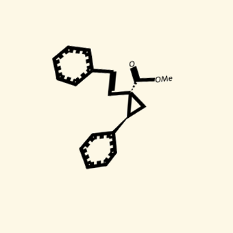 COC(=O)[C@]1(/C=C/c2ccccc2)C[C@H]1c1ccccc1